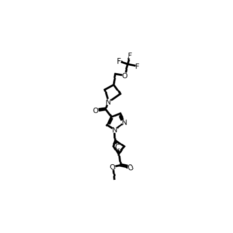 COC(=O)C12CC(n3cc(C(=O)N4CC(COC(F)(F)F)C4)cn3)(C1)C2